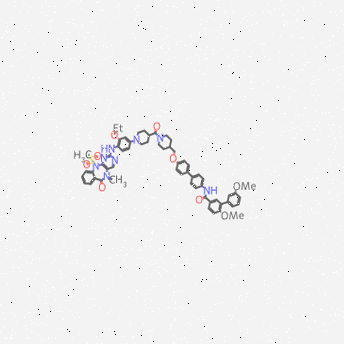 CCOc1cc(N2CCC(C(=O)N3CCC(COc4ccc(-c5ccc(NC(=O)c6ccc(OC)c(-c7cccc(OC)c7)c6)cc5)cc4)CC3)CC2)ccc1Nc1ncc2c(n1)N(S(C)(=O)=O)c1ccccc1C(=O)N2C